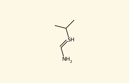 CC(C)[SH]=CN